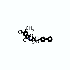 CCc1cc2c(cc1Cl)C(=O)/C(=C/c1cc3oc(-c4ccc(-c5ccccc5)cc4)nc3s1)C2=O